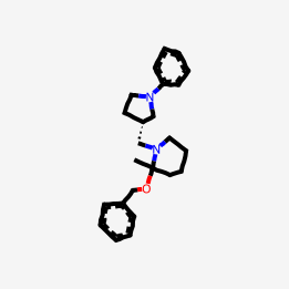 CC1(OCc2ccccc2)CCCCN1C[C@@H]1CCN(c2ccccc2)C1